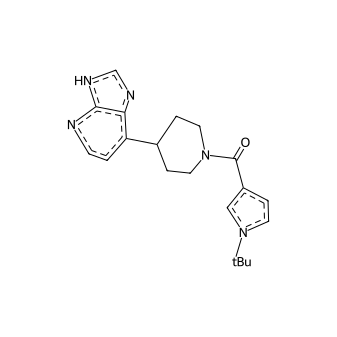 CC(C)(C)n1ccc(C(=O)N2CCC(c3ccnc4[nH]cnc34)CC2)c1